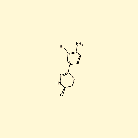 Nc1ccc(C2=NNC(=O)CC2)cc1Br